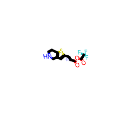 O=C(/C=C/c1cc2c(s1)CCNC2)OC(=O)C(F)(F)F